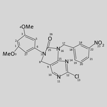 COc1cc(OC)cc(N2Cc3cnc(Cl)nc3N(Cc3cccc([N+](=O)[O-])c3)C2=O)c1